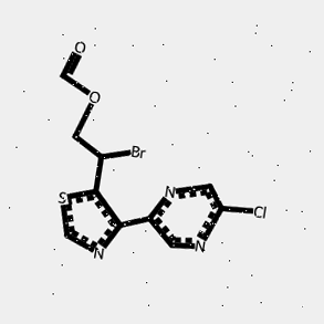 O=COCC(Br)c1scnc1-c1cnc(Cl)cn1